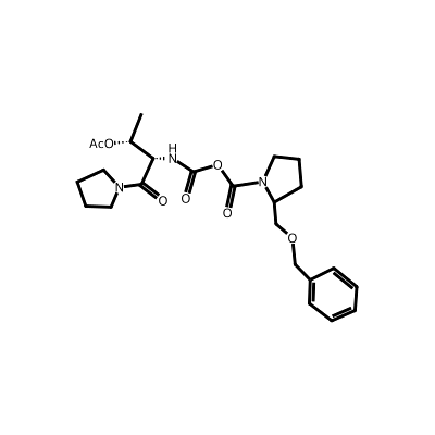 CC(=O)O[C@H](C)[C@H](NC(=O)OC(=O)N1CCCC1COCc1ccccc1)C(=O)N1CCCC1